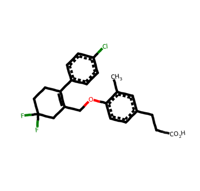 Cc1cc(CCC(=O)O)ccc1OCC1=C(c2ccc(Cl)cc2)CCC(F)(F)C1